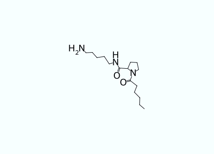 CCCCCC(=O)N1CCCC1C(=O)NCCCCCN